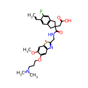 C=Cc1cc2c(cc1F)CC(CC(=O)O)(C(=O)NCc1nc3cc(OCCCN(C)C)c(OC)cc3s1)C2